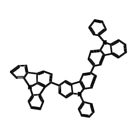 c1ccc(-n2c3ccccc3c3cc(-c4ccc5c(c4)c4cc(-c6ccc7c8ccccc8n8c9ccccc9c6c78)ccc4n5-c4ccccc4)ccc32)cc1